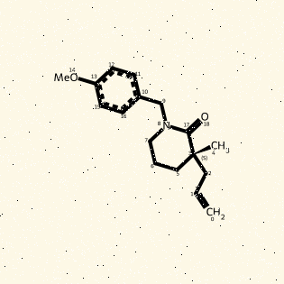 C=CC[C@]1(C)CCCN(Cc2ccc(OC)cc2)C1=O